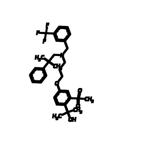 CC(C)(O)c1ccc(OCCCN(Cc2cccc(C(F)(F)F)c2)CC(C)(C)c2ccccc2)cc1S(C)(=O)=O